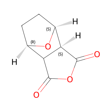 O=C1OC(=O)[C@H]2C1[C@H]1CC[C@@H]2O1